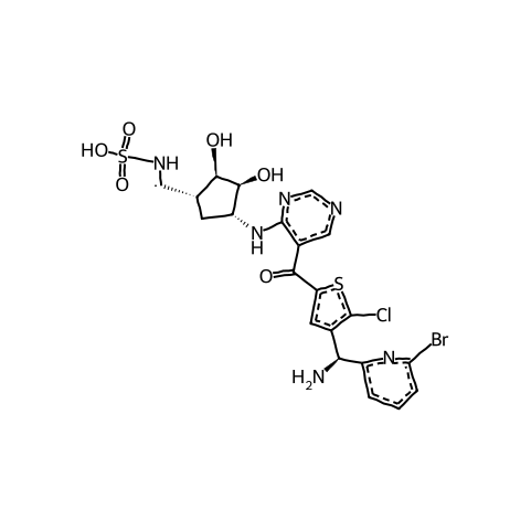 N[C@H](c1cccc(Br)n1)c1cc(C(=O)c2cncnc2N[C@@H]2C[C@H]([CH]NS(=O)(=O)O)[C@@H](O)[C@H]2O)sc1Cl